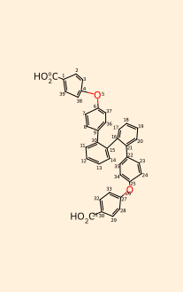 O=C(O)c1ccc(Oc2ccc(-c3ccccc3-c3ccccc3-c3ccc(Oc4ccc(C(=O)O)cc4)cc3)cc2)cc1